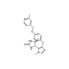 Cc1cc(COc2ccc(Sc3ncn(C)c3C3NC(=O)NC3=O)cc2)ccn1